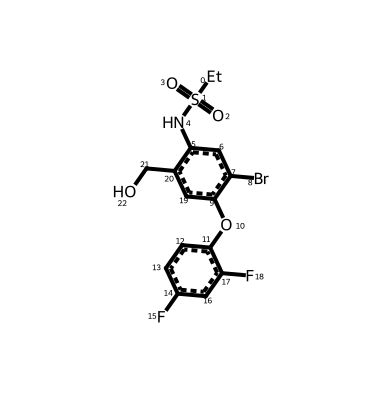 CCS(=O)(=O)Nc1cc(Br)c(Oc2ccc(F)cc2F)cc1CO